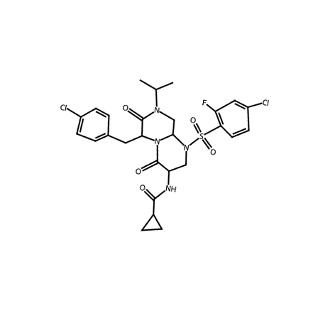 CC(C)N1CC2N(C(=O)C(NC(=O)C3CC3)CN2S(=O)(=O)c2ccc(Cl)cc2F)C(Cc2ccc(Cl)cc2)C1=O